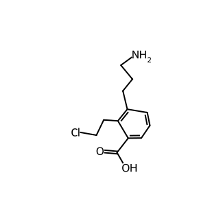 NCCCc1cccc(C(=O)O)c1CCCl